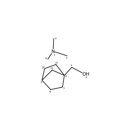 CN(C)C.OCC12CCC(CC1)C2